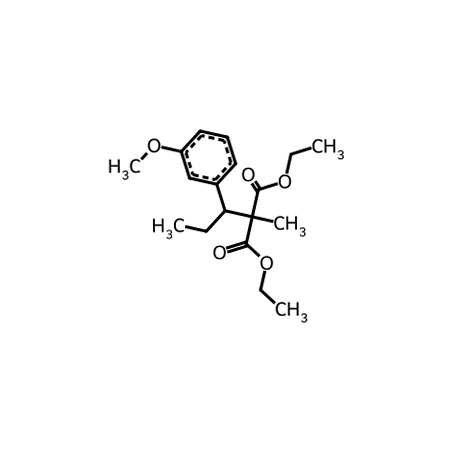 CCOC(=O)C(C)(C(=O)OCC)C(CC)c1cccc(OC)c1